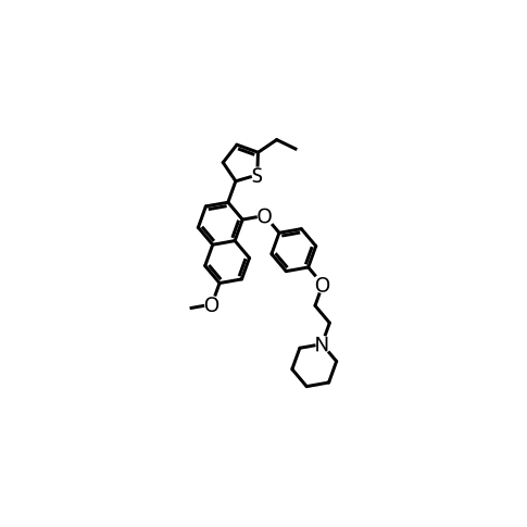 CCC1=CCC(c2ccc3cc(OC)ccc3c2Oc2ccc(OCCN3CCCCC3)cc2)S1